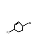 BC1C=CC(C#N)CC1